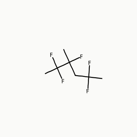 CC(F)(F)CC(C)(F)C(C)(F)F